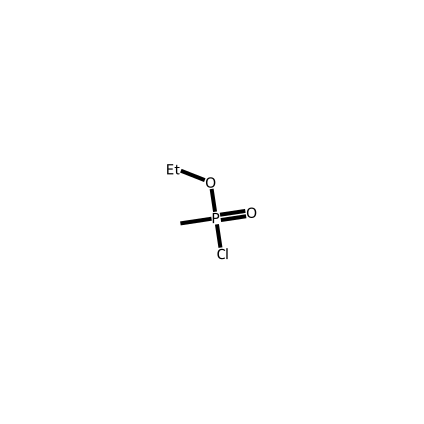 CCOP(C)(=O)Cl